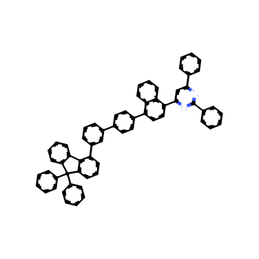 c1ccc(-c2cc(-c3ccc(-c4ccc(-c5cccc(-c6cccc7c6-c6ccccc6C7(c6ccccc6)c6ccccc6)c5)cc4)c4ccccc34)nc(-c3ccccc3)n2)cc1